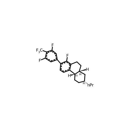 CCC[C@@H]1CC[C@@H]2c3ccc(-c4cc(F)c(C(F)(F)F)c(F)c4)c(F)c3CC[C@@H]2C1